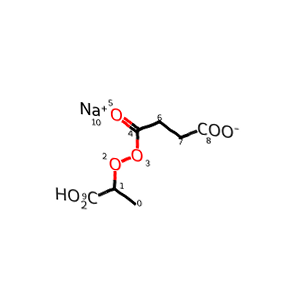 CC(OOC(=O)CCC(=O)[O-])C(=O)O.[Na+]